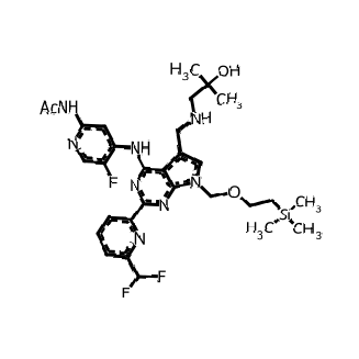 CC(=O)Nc1cc(Nc2nc(-c3cccc(C(F)F)n3)nc3c2c(CNCC(C)(C)O)cn3COCC[Si](C)(C)C)c(F)cn1